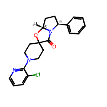 O=C1N2[C@@H](CC[C@H]2c2ccccc2)OC12CCN(c1ncccc1Cl)CC2